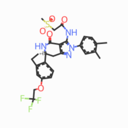 Cc1ccc(-n2nc3c(c2NC(=O)CS(C)(=O)=O)C(=O)N[C@@]2(CCc4cc(OCC(F)(F)F)ccc42)C3)cc1C